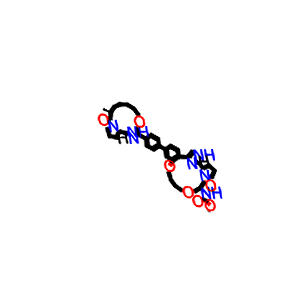 COC(=O)N[C@H]1COCCCCOc2cc(-c3ccc(-c4nc5[nH]c4OCCCCC[C@H](C)C(=O)N4CCC[C@@H]54)cc3)ccc2-c2c[nH]c(n2)[C@@H]2CCCN2C1=O